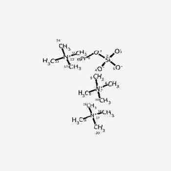 CCCO[Si]([O-])([O-])[O-].C[N+](C)(C)C.C[N+](C)(C)C.C[N+](C)(C)C